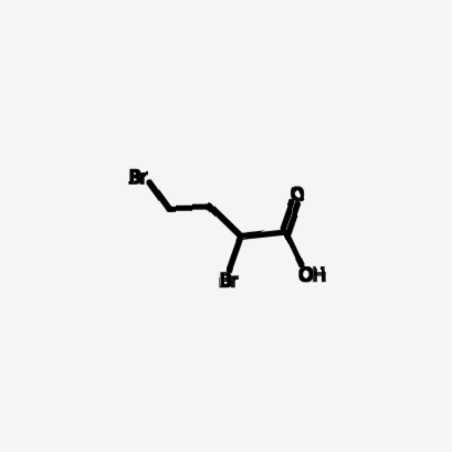 O=C(O)C(Br)CCBr